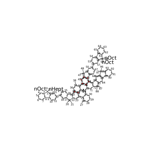 CCCCCCCCC1(CCCCCCC)c2ccccc2-c2ccc(-c3ccc4c(c3)C(C)(C)c3cc(-c5c(C)cccc5N(c5cccc(C)c5-c5ccc6c(c5)C(C)(C)c5cc(-c7ccc8c(c7)C(CCCCCCCC)(CCCCCCCC)c7ccccc7-8)ccc5-6)c5cc6c(c7ccccc57)-c5cc7c(cc5C6(C)C)-c5ccccc5C7(C)C)ccc3-4)cc21